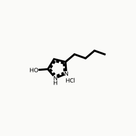 CCCCc1cc(O)[nH]n1.Cl